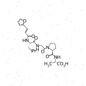 CC(C)C[C@H](NC(=O)C=Cc1ccco1)C(=O)NCC(=O)N1CCC[C@H]1C(=O)N[C@@H](C)C(=O)O